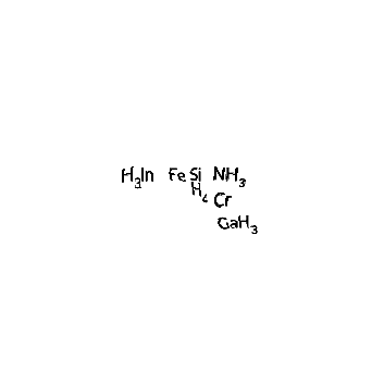 N.[Cr].[Fe].[GaH3].[InH3].[SiH4]